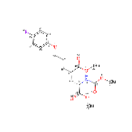 CC(C)(C)OC(=O)N[C@@H](C[C@H](CCCOc1ccc(I)cc1)C(=O)OC(C)(C)C)C(=O)OC(C)(C)C